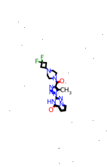 Cc1c(C(=O)N2CCN(C3CC(F)(F)C3)CC2)nnn1-c1nn2cccc2c(=O)[nH]1